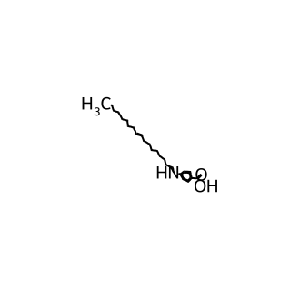 CCCCCCCCC=CCCCCCCCCNc1ccc(C(=O)O)cc1